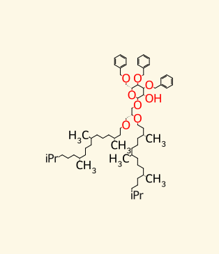 CC(C)CCC[C@@H](C)CCC[C@@H](C)CCC[C@@H](C)CCOC[C@H](CO[C@H]1O[C@H](COCc2ccccc2)[C@@H](OCc2ccccc2)[C@H](OCc2ccccc2)[C@@H]1O)OCC[C@H](C)CCC[C@H](C)CCC[C@H](C)CCCC(C)C